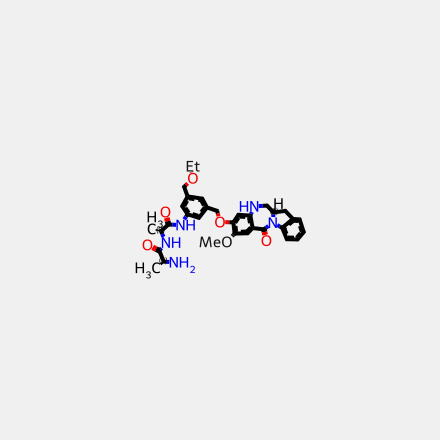 CCOCc1cc(COc2cc3c(cc2OC)C(=O)N2c4ccccc4C[C@H]2CN3)cc(NC(=O)[C@@H](C)NC(=O)[C@H](C)N)c1